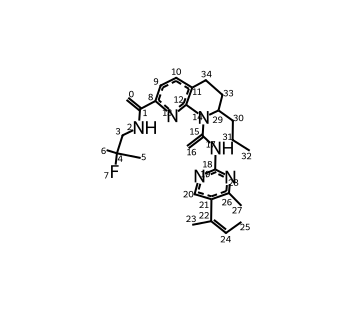 C=C(NCC(C)(C)F)c1ccc2c(n1)N(C(=C)Nc1ncc(/C(C)=C\C)c(C)n1)C(CCC)CC2